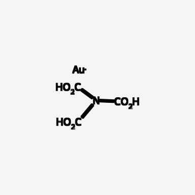 O=C(O)N(C(=O)O)C(=O)O.[Au]